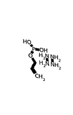 C=CCOP(O)O.NN.NN